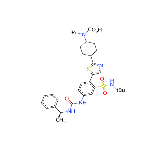 CC(C)N(C(=O)O)C1CCC(c2ncc(-c3ccc(NC(=O)N[C@@H](C)c4ccccc4)cc3S(=O)(=O)NC(C)(C)C)s2)CC1